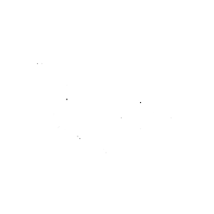 O=C1C2=C(c3c[nH]c4ccccc34)OCN2C(=O)CN1CCO